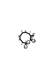 O=C1CCCCCCC(F)C(=O)O1